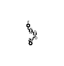 O=C(CCn1ncc2ccccc21)N1CCOC(c2cnc(Cc3ccc(F)cc3)cn2)C1